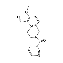 COc1ccc2c(c1C=O)CCN(C(=O)c1cccnc1)C2